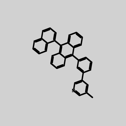 Cc1cncc(-c2cccc(-c3c4ccccc4c(-c4cccc5ccccc45)c4ccccc34)c2)c1